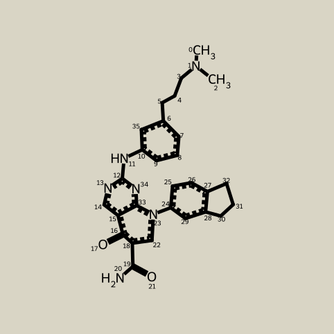 CN(C)CCCc1cccc(Nc2ncc3c(=O)c(C(N)=O)cn(-c4ccc5c(c4)CCC5)c3n2)c1